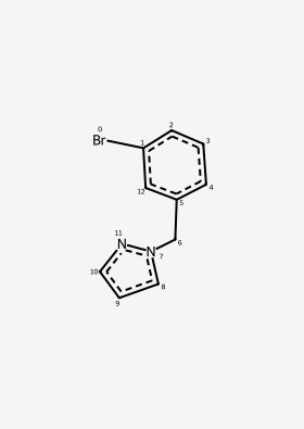 Brc1cccc(Cn2cccn2)c1